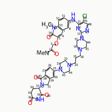 CNC(=O)COc1cc2cc(Nc3nc(N4CCN(CCCN5CCN(c6ccc7c(c6)CN(C6CCC(=O)NC6=O)C7=O)CC5)CC4)ncc3Cl)ccc2n(C)c1=O